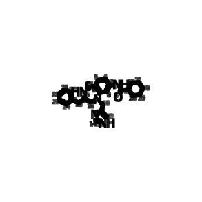 O=C(Nc1ccc2c(c1)N(Cc1c[nH]cn1)CC(Cc1ccccc1)NS2)C1CCCCC1